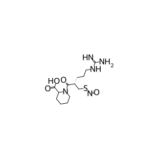 N=C(N)NCCC[C@H](CSN=O)C(=O)N1CCCCC1C(=O)O